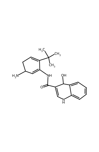 CC(C)(C)C1=CCC(N)C=C1NC(=O)C1=CNc2ccccc2C1O